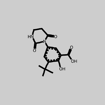 CC(C)(C)c1cc(N2C(=O)CCNC2=O)cc(C(=O)O)c1O